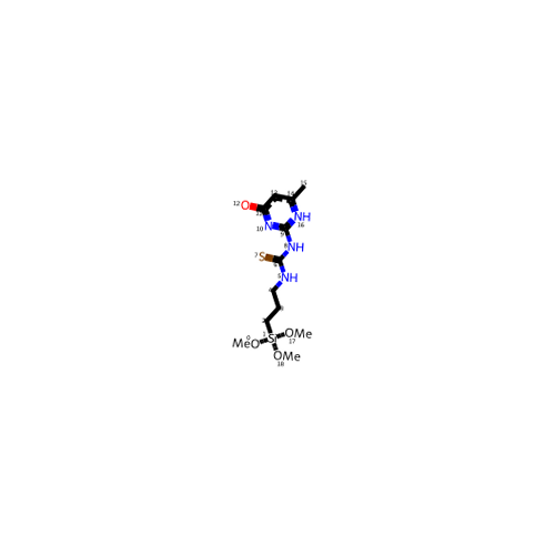 CO[Si](CCCNC(=S)Nc1nc(=O)cc(C)[nH]1)(OC)OC